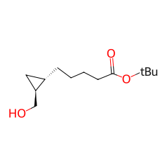 CC(C)(C)OC(=O)CCCC[C@H]1C[C@@H]1CO